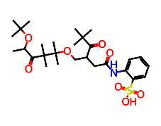 CC(OC(C)(C)C)C(=O)C(C)(C)C(C)(C)OCC(CC(=O)Nc1ccccc1S(=O)(=O)O)C(=O)C(C)(C)C